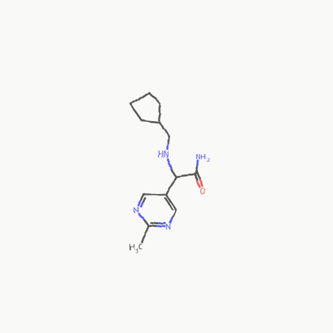 Cc1ncc(C(NCC2CCCC2)C(N)=O)cn1